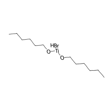 Br.CCCCCC[O][Ti][O]CCCCCC